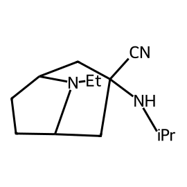 CCN1C2CCC1CC(C#N)(NC(C)C)C2